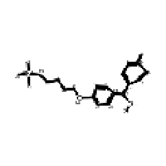 COC(c1ccc(C)cc1)c1ccc(OCCCCC[N+](C)(C)C)cc1